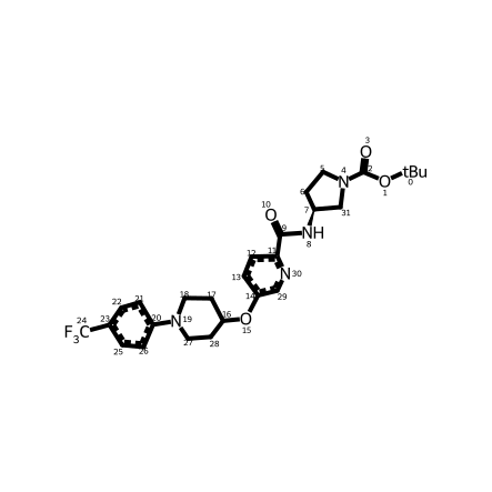 CC(C)(C)OC(=O)N1CC[C@H](NC(=O)c2ccc(OC3CCN(c4ccc(C(F)(F)F)cc4)CC3)cn2)C1